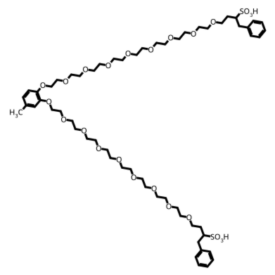 Cc1ccc(OCCOCCOCCOCCOCCOCCOCCOCCOCCC(Cc2ccccc2)S(=O)(=O)O)c(OCCOCCOCCOCCOCCOCCOCCOCCOCCC(Cc2ccccc2)S(=O)(=O)O)c1